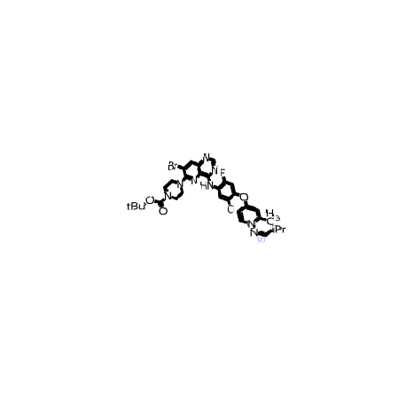 CC(C)/C=N\N1C=CC(Oc2cc(F)c(Nc3ncnc4cc(Br)c(N5CCN(C(=O)OC(C)(C)C)CC5)nc34)cc2Cl)=CC1C